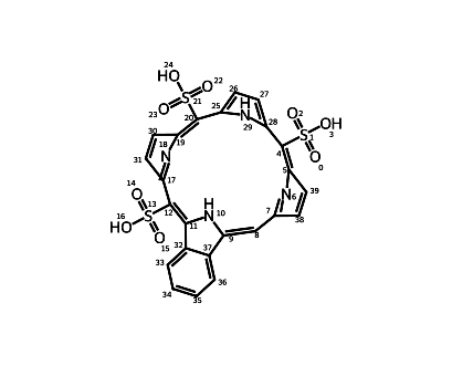 O=S(=O)(O)c1c2nc(cc3[nH]c(c(S(=O)(=O)O)c4nc(c(S(=O)(=O)O)c5ccc1[nH]5)C=C4)c1ccccc31)C=C2